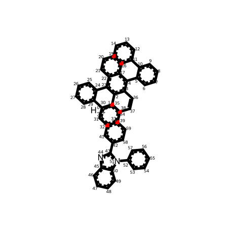 CC1c2c(c(-c3ccccc3-c3ccccc3)c3ccccc3c2-c2ccccc2-c2ccccc2)C=CC1c1ccc(-c2nc3ccccc3n2-c2ccccc2)cc1